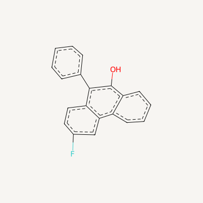 Oc1c(-c2ccccc2)c2ccc(F)cc2c2ccccc12